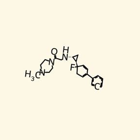 CN1CCN(C(=O)CN[C@@H]2C[C@H]2C2(F)C=CC(c3ccccc3)=CC2)CC1